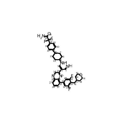 N=C/C(=C\NC1CCC(c2ccc(C(F)(F)C(N)=O)cc2)CC1)c1cnc2cccc(-c3cc(F)c(CC4CCOCC4)c(F)c3)c2n1